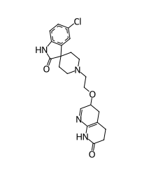 O=C1CCC2=C(N=CC(OCCN3CCC4(CC3)C(=O)Nc3ccc(Cl)cc34)C2)N1